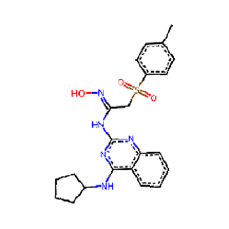 Cc1ccc(S(=O)(=O)C/C(=N/O)Nc2nc(NC3CCCC3)c3ccccc3n2)cc1